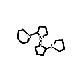 C1CCN(C2CCCN2N2CCCC2N2CCCC2)CC1